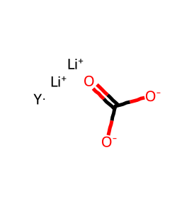 O=C([O-])[O-].[Li+].[Li+].[Y]